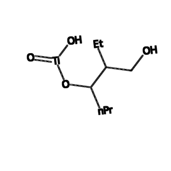 CCCC([O][Ti](=[O])[OH])C(CC)CO